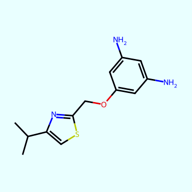 CC(C)c1csc(COc2cc(N)cc(N)c2)n1